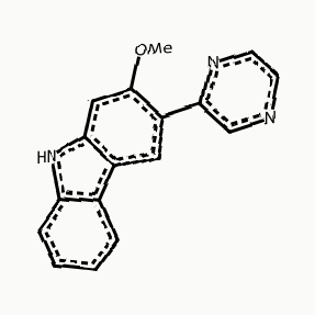 COc1[c]c2[nH]c3ccccc3c2cc1-c1cnccn1